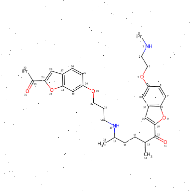 CC(C)NCCOc1ccc2oc(C(=O)C(C)CCC(C)NCCCOc3ccc4cc(C(=O)C(C)C)oc4c3)cc2c1